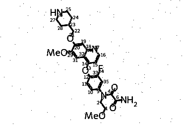 COCCN(C(=O)C(N)=O)c1ccc(Oc2ccnc3cc(OCC4CCNCC4)c(OC)cc23)c(F)c1